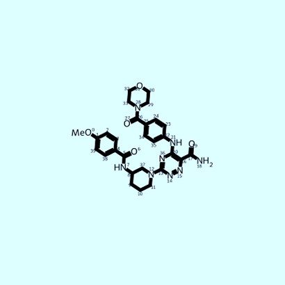 COc1ccc(C(=O)NC2CCCN(c3nnc(C(N)=O)c(Nc4ccc(C(=O)N5CCOCC5)cc4)n3)C2)cc1